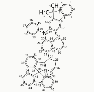 CC1(C)c2ccccc2-c2ccc(N(c3ccccc3)c3ccc(C4CC=CC5=C4c4ccccc4C54c5ccccc5-c5ccccc54)c4ccccc34)cc21